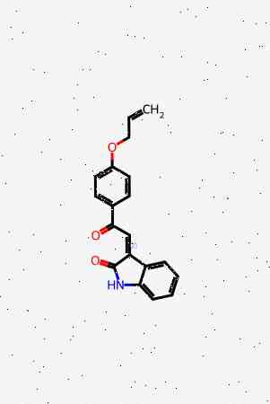 C=CCOc1ccc(C(=O)/C=C2\C(=O)Nc3ccccc32)cc1